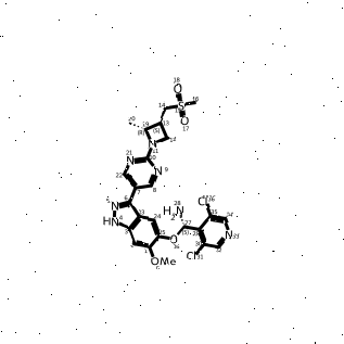 COc1cc2[nH]nc(-c3cnc(N4C[C@H](CS(C)(=O)=O)[C@H]4C)nc3)c2cc1O[C@H](N)c1c(Cl)cncc1Cl